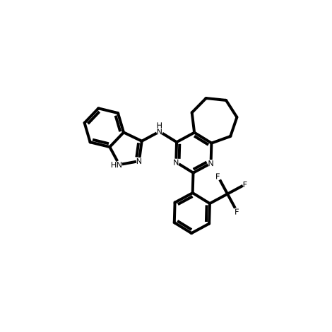 FC(F)(F)c1ccccc1-c1nc2c(c(Nc3n[nH]c4ccccc34)n1)CCCCC2